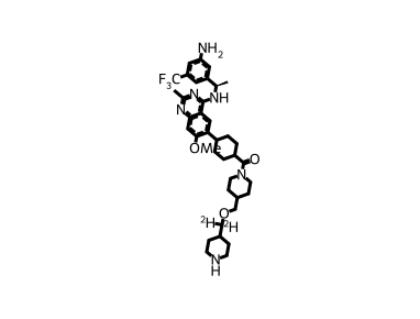 [2H]C([2H])(OCC1CCN(C(=O)C2CCC(c3cc4c(N[C@H](C)c5cc(N)cc(C(F)(F)F)c5)nc(C)nc4cc3OC)CC2)CC1)C1CCNCC1